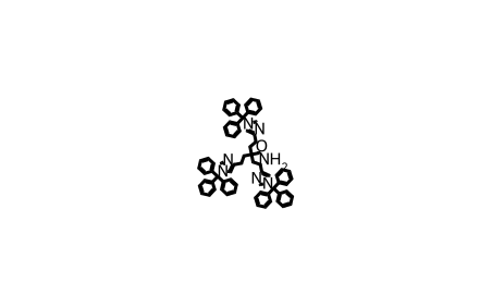 NC(=O)C(CCc1cn(C(c2ccccc2)(c2ccccc2)c2ccccc2)cn1)(CCc1cn(C(c2ccccc2)(c2ccccc2)c2ccccc2)cn1)CCc1cn(C(c2ccccc2)(c2ccccc2)c2ccccc2)cn1